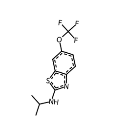 CC(C)Nc1nc2ccc(OC(F)(F)F)cc2s1